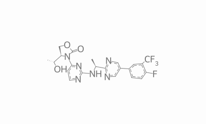 C[C@H](Nc1nccc(N2C(=O)OC[C@@H]2[C@@H](C)O)n1)c1ncc(-c2ccc(F)c(C(F)(F)F)c2)cn1